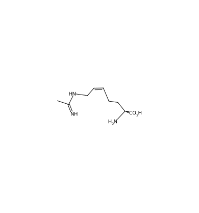 CC(=N)NC/C=C\CC[C@H](N)C(=O)O